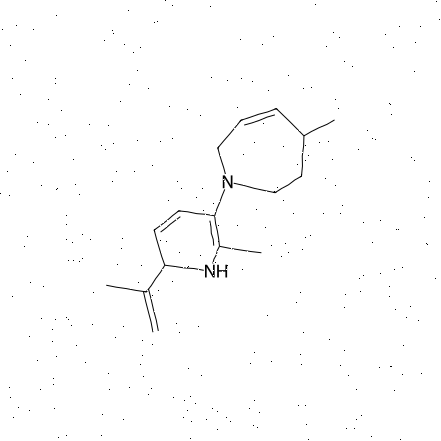 C=C(C)C1C=CC(N2CC=CC(C)CC2)=C(C)N1